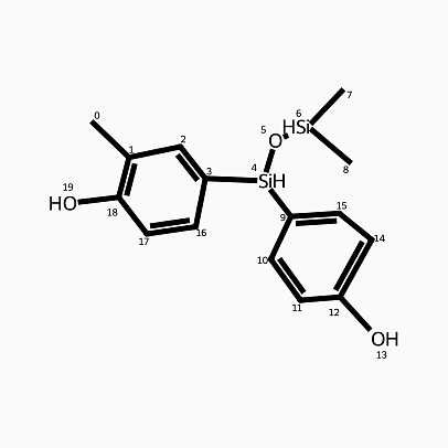 Cc1cc([SiH](O[SiH](C)C)c2ccc(O)cc2)ccc1O